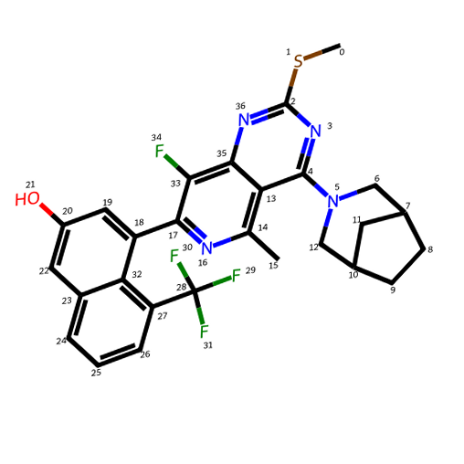 CSc1nc(N2CC3CCC(C3)C2)c2c(C)nc(-c3cc(O)cc4cccc(C(F)(F)F)c34)c(F)c2n1